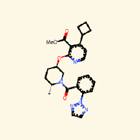 COC(=O)c1c(C2CCC2)ccnc1O[C@@H]1CC[C@@H](C)N(C(=O)c2ccccc2-n2nccn2)C1